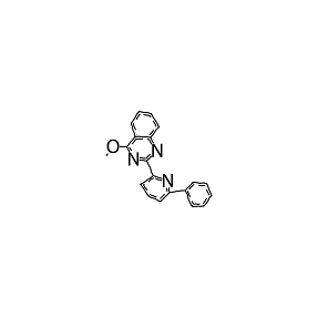 COc1nc(-c2cccc(-c3ccccc3)n2)nc2ccccc12